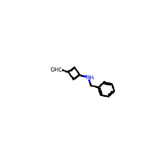 O=CC1CC(NCc2ccccc2)C1